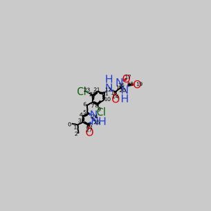 CC(C)c1cc(Cc2c(Cl)cc(NC(=O)c3noc(=O)[nH]3)cc2Cl)n[nH]c1=O